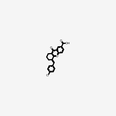 O=C(O)c1ccc2oc3c(c(=O)c2c1)CCCC3=Cc1ccc(Cl)cc1